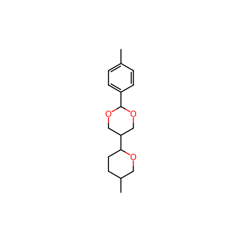 Cc1ccc(C2OCC(C3CCC(C)CO3)CO2)cc1